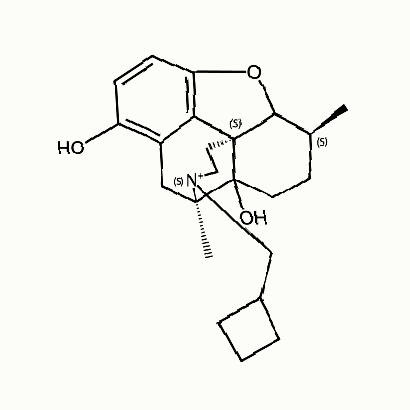 C[C@H]1CCC2(O)C3Cc4c(O)ccc5c4[C@@]2(CC[N@@+]3(C)CC2CCC2)C1O5